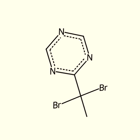 CC(Br)(Br)c1ncncn1